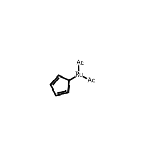 C[C](=O)[Ru]([C](C)=O)[CH]1C=CC=C1